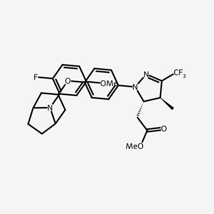 COC(=O)C[C@H]1[C@H](C)C(C(F)(F)F)=NN1c1ccc(OC2CC3CCC(C2)N3c2cc(OC)ccc2F)cc1